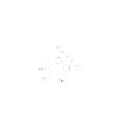 C=CC1(C=C)C(C=C)(C=C)C(c2ccccc2)(c2ccccc2)C(c2ccccc2)(c2ccccc2)C(c2ccccc2)(c2ccccc2)C1(C=C)C=C.[SiH3]O[SiH2]O[SiH2]O[SiH2]O[SiH2]O[SiH3]